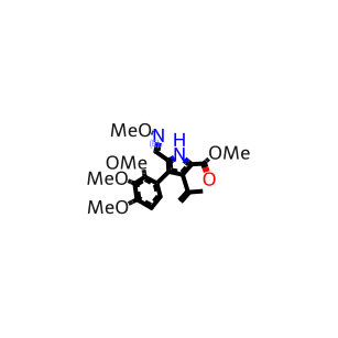 C=C(C)c1c(C(=O)OC)[nH]c(/C=N/OC)c1-c1ccc(OC)c(OC)c1OC